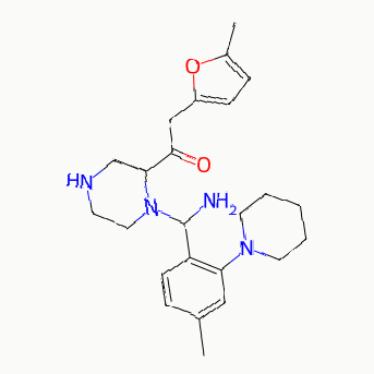 Cc1ccc(C(N)N2CCNCC2C(=O)Cc2ccc(C)o2)c(N2CCCCC2)c1